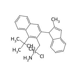 CC1=Cc2ccccc2C1c1cc2ccccc2c(C(C)(C)C)c1[CH2][Ti]([NH2])([Cl])[Cl]